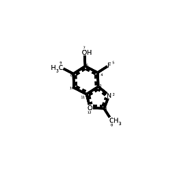 Cc1nc2c(F)c(O)c(C)cc2o1